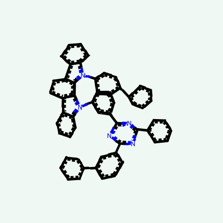 c1ccc(-c2ccc(-n3c4ccccc4c4ccc5c6ccccc6n(-c6cccc(-c7nc(-c8ccccc8)nc(-c8cccc(-c9ccccc9)c8)n7)c6)c5c43)cc2)cc1